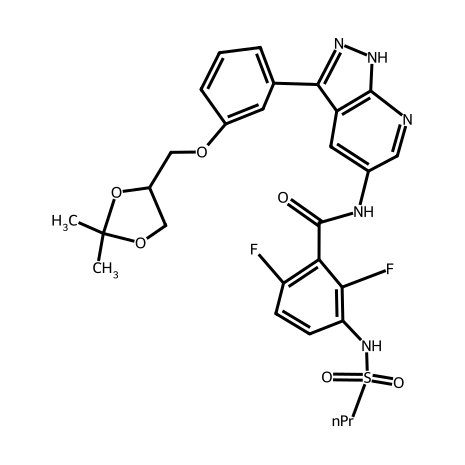 CCCS(=O)(=O)Nc1ccc(F)c(C(=O)Nc2cnc3[nH]nc(-c4cccc(OCC5COC(C)(C)O5)c4)c3c2)c1F